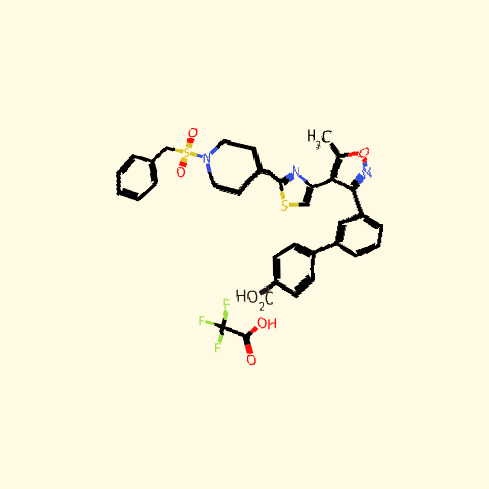 Cc1onc(-c2cccc(-c3ccc(C(=O)O)cc3)c2)c1-c1csc(C2CCN(S(=O)(=O)Cc3ccccc3)CC2)n1.O=C(O)C(F)(F)F